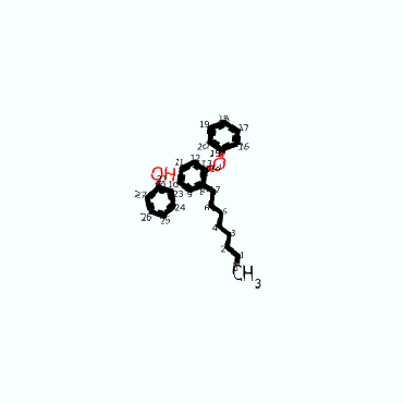 CCCCCCCCc1ccccc1Oc1ccccc1.Oc1ccccc1